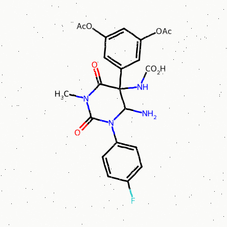 CC(=O)Oc1cc(OC(C)=O)cc(C2(NC(=O)O)C(=O)N(C)C(=O)N(c3ccc(F)cc3)C2N)c1